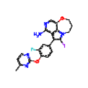 Cc1ccnc(Oc2ccc(-c3c(I)n4c5c(cnc(N)c35)OCCC4)cc2F)n1